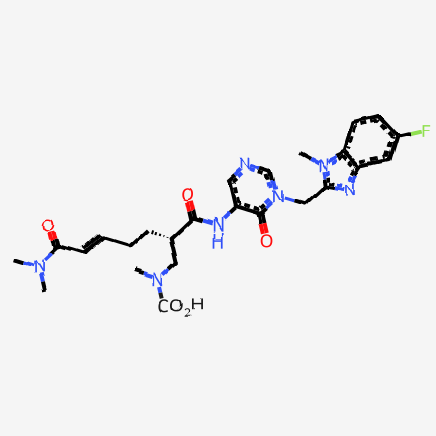 CN(C)C(=O)/C=C/CC[C@@H](CN(C)C(=O)O)C(=O)Nc1cncn(Cc2nc3cc(F)ccc3n2C)c1=O